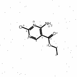 CCOC(=O)c1cnc(Cl)nc1N